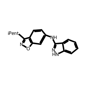 CCCC(C)c1noc2cc(Nc3n[nH]c4ccccc34)ccc12